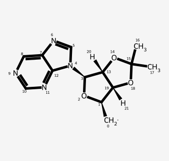 [CH2][C@H]1O[C@@H](n2cnc3cncnc32)[C@@H]2OC(C)(C)O[C@@H]21